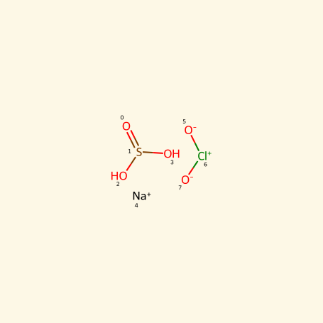 O=S(O)O.[Na+].[O-][Cl+][O-]